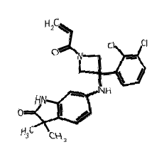 C=CC(=O)N1CC(Nc2ccc3c(c2)NC(=O)C3(C)C)(c2cccc(Cl)c2Cl)C1